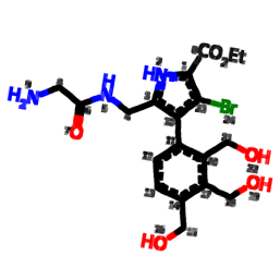 CCOC(=O)c1[nH]c(CNC(=O)CN)c(-c2ccc(CO)c(CO)c2CO)c1Br